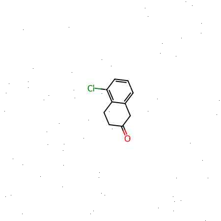 O=C1CCc2c(Cl)cccc2C1